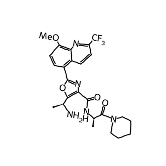 COc1ccc(-c2nc(C(=O)N[C@H](C)C(=O)N3CCCCC3)c([C@H](C)N)o2)c2ccc(C(F)(F)F)nc12